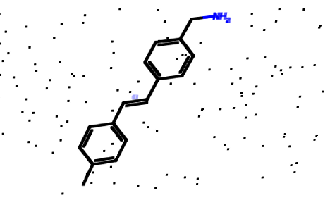 Cc1ccc(/C=C/c2ccc(CN)cc2)cc1